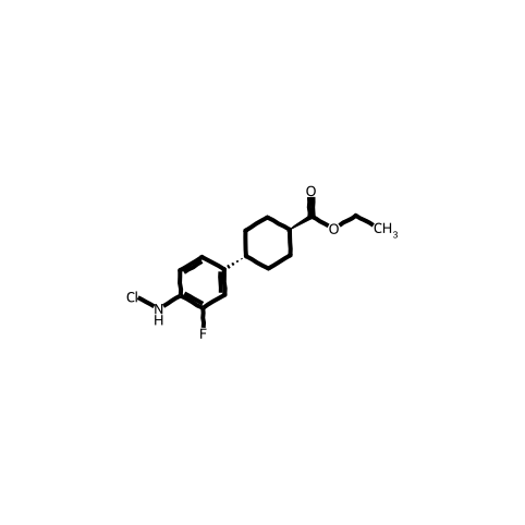 CCOC(=O)[C@H]1CC[C@H](c2ccc(NCl)c(F)c2)CC1